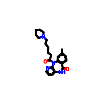 Cc1ccc2c(c1)N(C(=O)CCCCCN1CCCCC1)c1ncccc1NC2=O